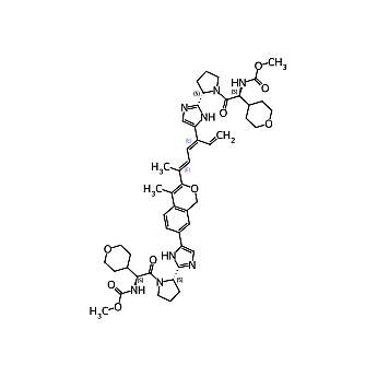 C=C/C(=C\C=C(/C)C1=C(C)c2ccc(-c3cnc([C@@H]4CCCN4C(=O)[C@@H](NC(=O)OC)C4CCOCC4)[nH]3)cc2CO1)c1cnc([C@@H]2CCCN2C(=O)[C@@H](NC(=O)OC)C2CCOCC2)[nH]1